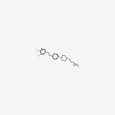 CCCCC1CCC(c2ccc(CCc3cnc(F)c(F)c3)cc2)CC1